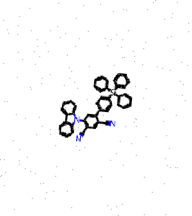 N#Cc1cc(C#N)c(-n2c3ccccc3c3ccccc32)cc1-c1ccc([Si](c2ccccc2)(c2ccccc2)c2ccccc2)cc1